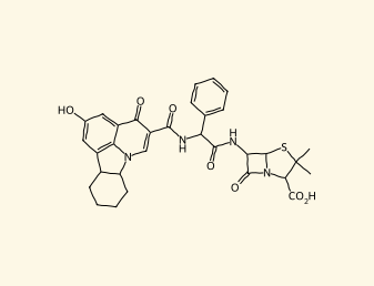 CC1(C)SC2C(NC(=O)C(NC(=O)c3cn4c5c(cc(O)cc5c3=O)C3CCCCC34)c3ccccc3)C(=O)N2C1C(=O)O